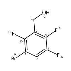 OCc1c(F)c(F)cc(Br)c1F